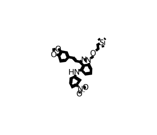 C[Si](C)(C)CCOCn1nc(C=Cc2ccc3c(c2)OCO3)c2c(Nc3cccc([N+](=O)[O-])c3)cccc21